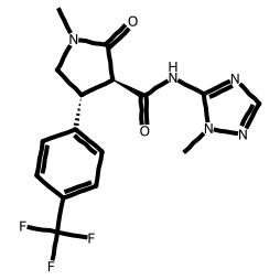 CN1C[C@@H](c2ccc(C(F)(F)F)cc2)[C@H](C(=O)Nc2ncnn2C)C1=O